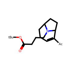 CC(=O)C1=CCCC2CCC1N2CCCC(=O)OC(C)(C)C